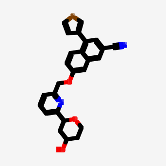 N#Cc1cc(-c2ccsc2)c2ccc(OCc3cccc(C4CC(O)CCO4)n3)cc2c1